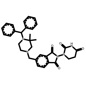 CC1(C)CN(Cc2ccc3c(c2)C(=O)N(N2CCC(=O)NC2=O)C3=O)CCN1C(c1ccccc1)c1ccccc1